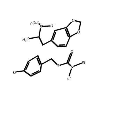 CCCCCCCC[S+]([O-])C(C)Cc1ccc2c(c1)OCO2.CCN(CC)C(=O)SCc1ccc(Cl)cc1